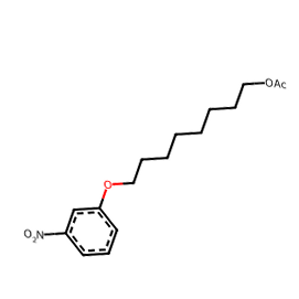 CC(=O)OCCCCCCCCOc1cccc([N+](=O)[O-])c1